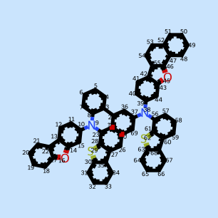 c1cc(-c2ccccc2N(c2ccc3c(c2)oc2ccccc23)c2cccc3c2sc2ccccc23)cc(N(c2ccc3c(c2)oc2c4ccccc4ccc32)c2cccc3c2sc2ccccc23)c1